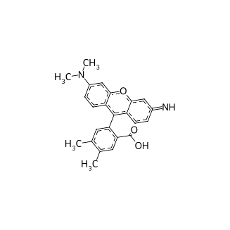 Cc1cc(C(=O)O)c(-c2c3ccc(=N)cc-3oc3cc(N(C)C)ccc23)cc1C